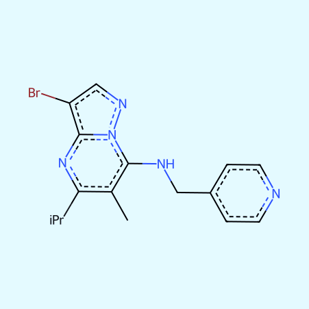 Cc1c(C(C)C)nc2c(Br)cnn2c1NCc1ccncc1